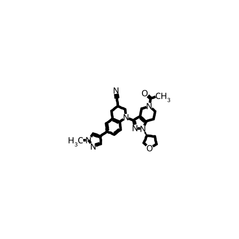 CC(=O)N1CCc2c(c(N3CC(C#N)Cc4cc(-c5cnn(C)c5)ccc43)nn2[C@H]2CCOC2)C1